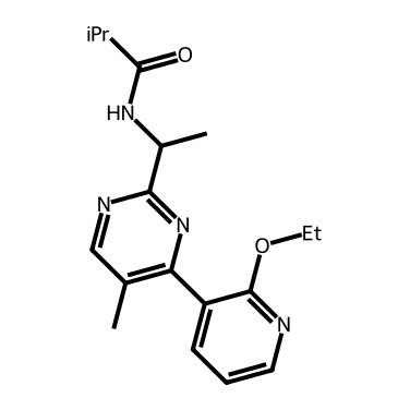 CCOc1ncccc1-c1nc(C(C)NC(=O)C(C)C)ncc1C